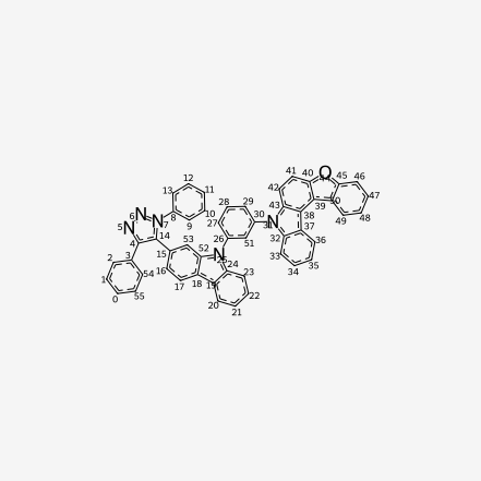 c1ccc(-c2nnn(-c3ccccc3)c2-c2ccc3c4ccccc4n(-c4cccc(-n5c6ccccc6c6c7c(ccc65)oc5ccccc57)c4)c3c2)cc1